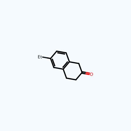 CCc1ccc2c(c1)CCC(=O)C2